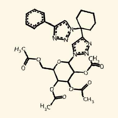 CC(=O)OCC1OC(n2cc(C3(n4cc(-c5ccccc5)nn4)CCCCC3)nn2)C(OC(C)=O)C(OC(C)=O)C1OC(C)=O